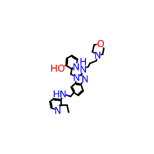 CCc1ncccc1NCc1ccc2nc(NCCCN3CCOCC3)n(Cc3ncccc3O)c2c1